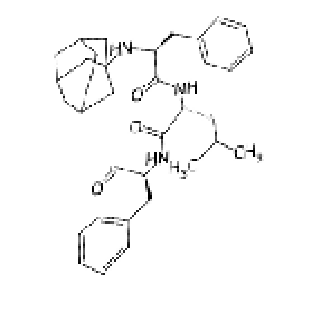 CC(C)C[C@@H](NC(=O)[C@H](Cc1ccccc1)NC12CC3CC(CC(C3)C1)C2)C(=O)N[C@H]([C]=O)Cc1ccccc1